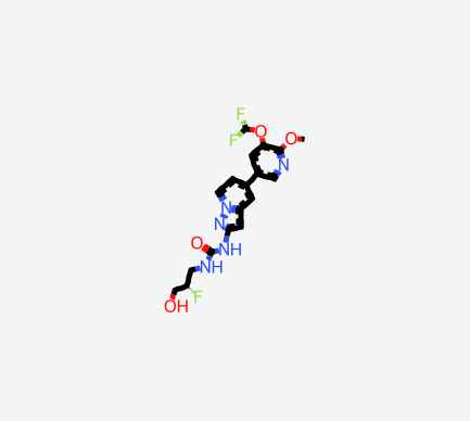 COc1ncc(-c2ccn3nc(NC(=O)NC[C@H](F)CO)cc3c2)cc1OC(F)F